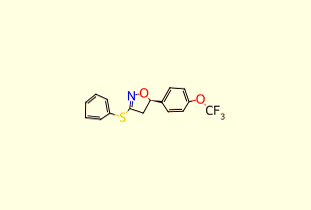 FC(F)(F)Oc1ccc([C@H]2CC(Sc3ccccc3)=NO2)cc1